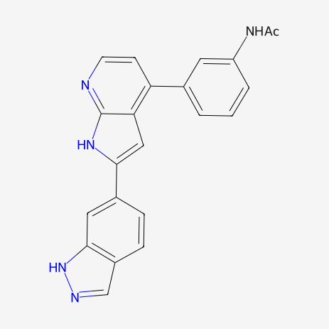 CC(=O)Nc1cccc(-c2ccnc3[nH]c(-c4ccc5cn[nH]c5c4)cc23)c1